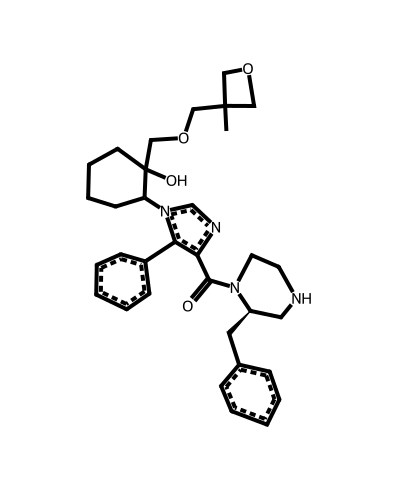 CC1(COCC2(O)CCCCC2n2cnc(C(=O)N3CCNC[C@H]3Cc3ccccc3)c2-c2ccccc2)COC1